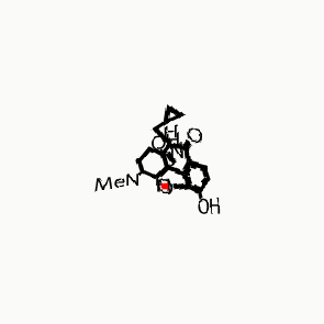 CN[C@H]1CC[C@@]2(O)[C@H]3C(=O)c4ccc(O)c5c4[C@@]2(CCN3CC2CC2)[C@H]1O5